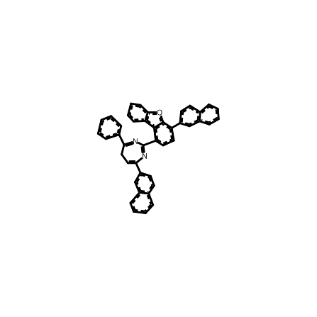 C1=C(c2ccc3ccccc3c2)N=C(c2ccc(-c3ccc4ccccc4c3)c3oc4ccccc4c23)N=C(c2ccccc2)C1